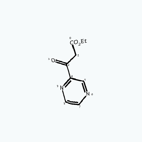 CCOC(=O)CC(=O)c1cnccn1